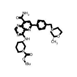 C[C@@H]1CN(Cc2ccc(-c3cc(C(N)=O)c4ncnc(N[C@H]5CCCN(C(=O)OC(C)(C)C)C5)c4n3)cc2)CCO1